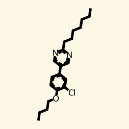 CCCCCCCc1ncc(-c2ccc(OCCCC)c(Cl)c2)cn1